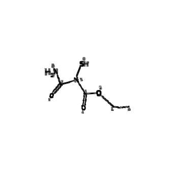 CCOC(=O)N(S)C(N)=O